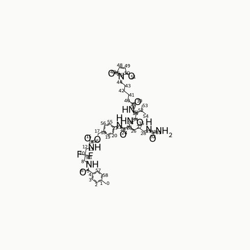 Cc1ccc(C(=O)NCC(F)(F)CNC(=O)OCc2ccc(NC(=O)[C@H](CCCNC(N)=O)NC(=O)[C@@H](NC(=O)CCCCCN3C(=O)C=CC3=O)C(C)C)cc2)cc1